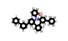 c1ccc(-c2cccc(-c3ccc4c(c3)-c3ccccc3-c3cc(-c5ccccc5)cc5c3N4c3ccccc3O5)c2)cc1